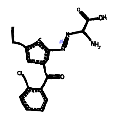 CCc1cc(C(=O)c2ccccc2Cl)c(/N=N/C(N)C(=O)O)s1